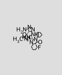 Cc1nnc(-c2c(N)ncnc2N[C@@H](C)c2nc3cccc(F)c3c(=O)n2-c2ccccc2)o1